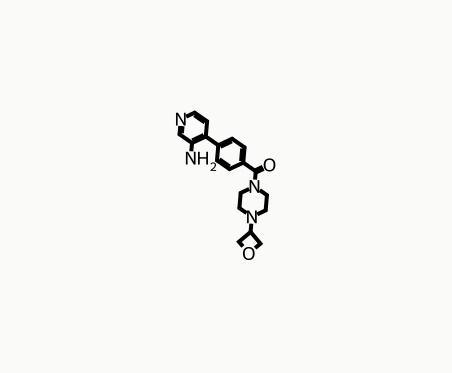 Nc1cnccc1-c1ccc(C(=O)N2CCN(C3COC3)CC2)cc1